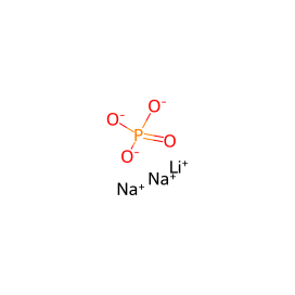 O=P([O-])([O-])[O-].[Li+].[Na+].[Na+]